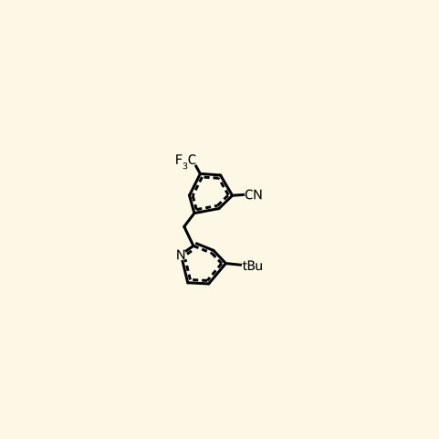 CC(C)(C)c1ccnc(Cc2cc(C#N)cc(C(F)(F)F)c2)c1